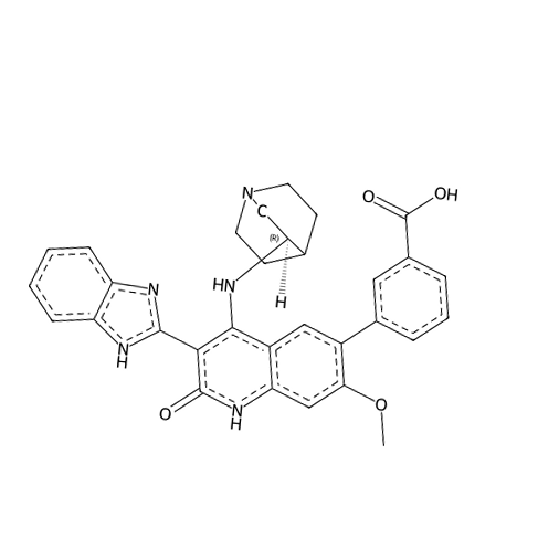 COc1cc2[nH]c(=O)c(-c3nc4ccccc4[nH]3)c(N[C@H]3CN4CCC3CC4)c2cc1-c1cccc(C(=O)O)c1